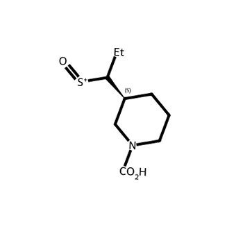 CCC([S+]=O)[C@H]1CCCN(C(=O)O)C1